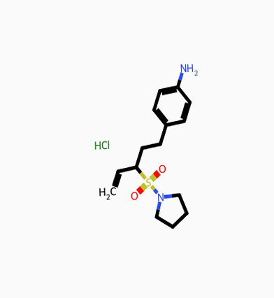 C=CC(CCc1ccc(N)cc1)S(=O)(=O)N1CCCC1.Cl